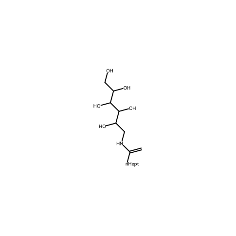 C=C(CCCCCCC)NCC(O)C(O)C(O)C(O)CO